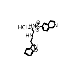 C[C@H](CNCCc1noc2ccccc12)NS(=O)(=O)c1ccc2cnccc2c1.Cl